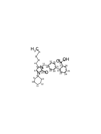 CCCCCc1cn(C2CCCCC2)c(=O)n1Cc1ccc(-c2ccccc2C(=O)O)cc1